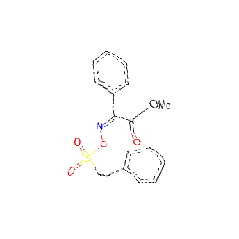 COC(=O)C(=NOS(=O)(=O)Cc1ccccc1)c1ccccc1